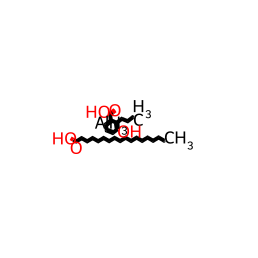 CCCCCCCCCCCCCCCCCC(=O)O.CCCCc1c(O)cccc1C(=O)O.[AlH3]